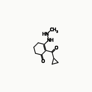 CNNC1=C(C(=O)C2CC2)C(=O)CCC1